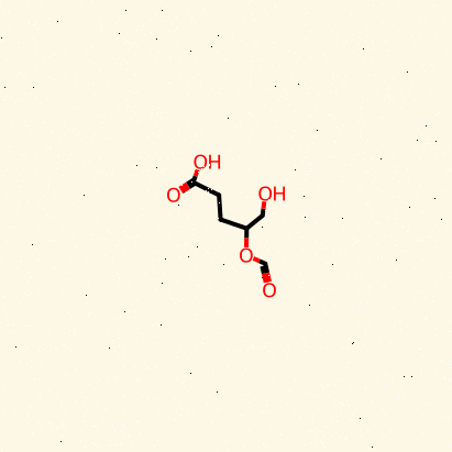 O=COC(CO)CCC(=O)O